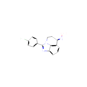 ON=C1CCn2c(-c3ccc(Br)cc3)nc3cccc1c32